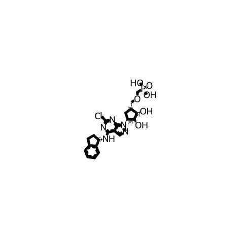 O=P(O)(O)COC[C@H]1C[C@@H](n2ncc3c(N[C@H]4CCc5ccccc54)nc(Cl)nc32)[C@H](O)[C@H]1O